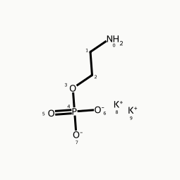 NCCOP(=O)([O-])[O-].[K+].[K+]